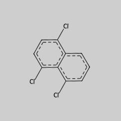 Clc1ccc(Cl)c2c(Cl)cccc12